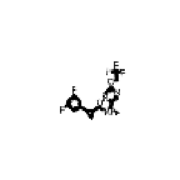 C[C@@H](NC(=O)C1CC1c1cc(F)cc(F)c1)c1cnc(OCC(F)(F)F)cn1